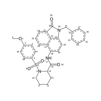 COc1ccc(S(=O)(=O)N2CCCCC2C(=O)Nc2ccc3c4c(cccc24)C(=O)N3Cc2ccccc2)cc1